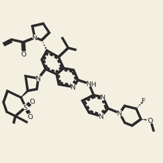 C=CC(=O)N1CCC[C@@H]1c1cc(N2CC([C@@H]3CCCC(C)(C)S3(=O)=O)C2)c2cnc(Nc3ccnc(N4CC[C@@H](OC)[C@@H](F)C4)n3)cc2c1C(C)C